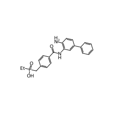 CCP(=O)(O)Cc1ccc(C(=O)Nc2cc(-c3ccccc3)ccc2N)cc1